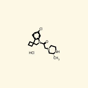 C[C@@H]1CN(CC(=O)N2CC3(CCC3)c3ccc(Cl)cc32)CCN1.Cl